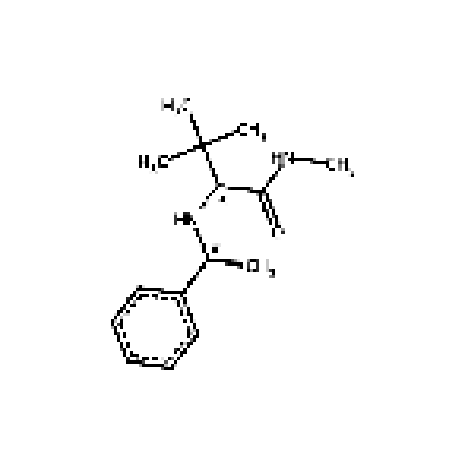 CNC(=O)[C@H](N[C@@H](C)c1ccccc1)C(C)(C)C